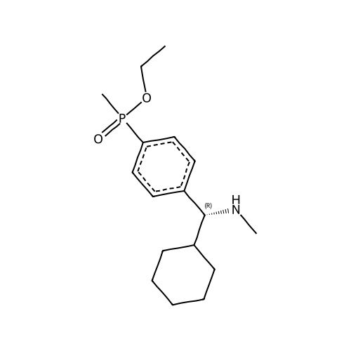 CCOP(C)(=O)c1ccc([C@H](NC)C2CCCCC2)cc1